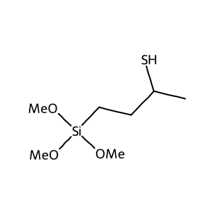 CO[Si](CCC(C)S)(OC)OC